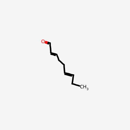 CCC=CCCC=CC=O